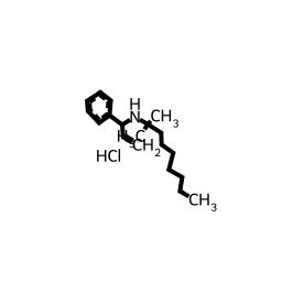 C=CC(NC(C)(C)CCCCCCC)c1ccccc1.Cl